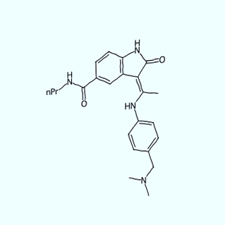 CCCNC(=O)c1ccc2c(c1)C(=C(C)Nc1ccc(CN(C)C)cc1)C(=O)N2